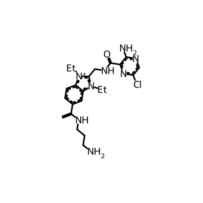 C=C(NCCCN)c1ccc2c(c1)n(CC)c(CNC(=O)c1nc(Cl)cnc1N)[n+]2CC